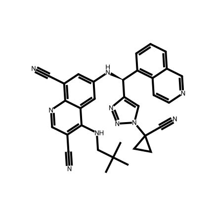 CC(C)(C)CNc1c(C#N)cnc2c(C#N)cc(N[C@H](c3cn(C4(C#N)CC4)nn3)c3cccc4cnccc34)cc12